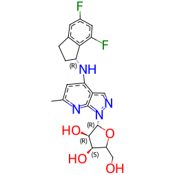 Cc1cc(N[C@@H]2CCc3cc(F)cc(F)c32)c2cnn([C@@H]3OC(CO)[C@@H](O)[C@H]3O)c2n1